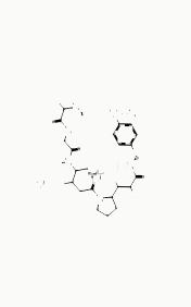 CCC(C)C(C(CC(=O)N1CCCC1C(OC)C(C)C(=O)NSc1ccc(NC)cc1)OC)N(C)C(=O)CNC(=O)C(C(C)C)N(C)C